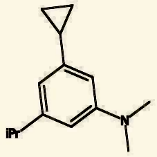 CC(C)c1cc(C2CC2)cc(N(C)C)c1